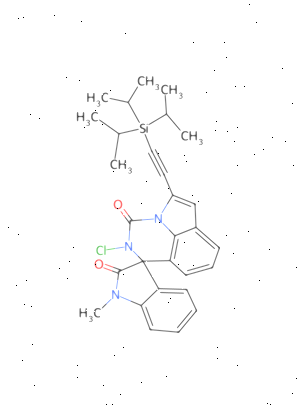 CC(C)[Si](C#Cc1cc2cccc3c2n1C(=O)N(Cl)C31C(=O)N(C)c2ccccc21)(C(C)C)C(C)C